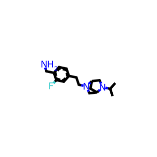 CC(C)N1CC2CC1CN2CCc1ccc(CN)c(F)c1